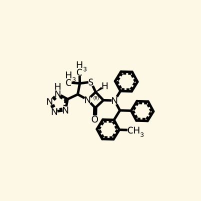 Cc1ccccc1C(c1ccccc1)N(c1ccccc1)C1C(=O)N2C(c3nnn[nH]3)C(C)(C)S[C@H]12